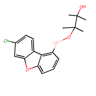 CC(C)(O)C(C)(C)OBc1cccc2oc3cc(Cl)ccc3c12